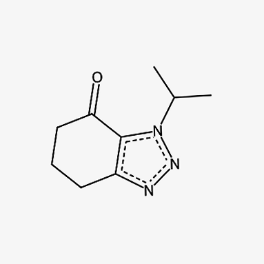 CC(C)n1nnc2c1C(=O)CCC2